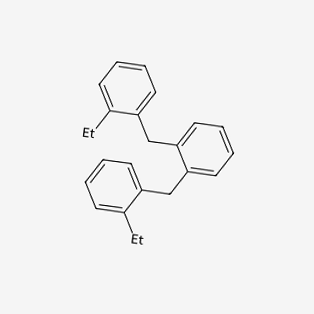 CCc1ccccc1Cc1ccccc1Cc1ccccc1CC